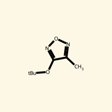 Cc1nonc1OC(C)(C)C